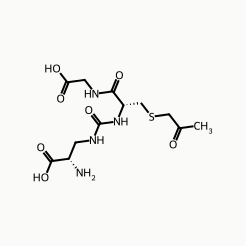 CC(=O)CSC[C@H](NC(=O)NC[C@H](N)C(=O)O)C(=O)NCC(=O)O